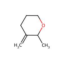 C=C1CCCOC1C